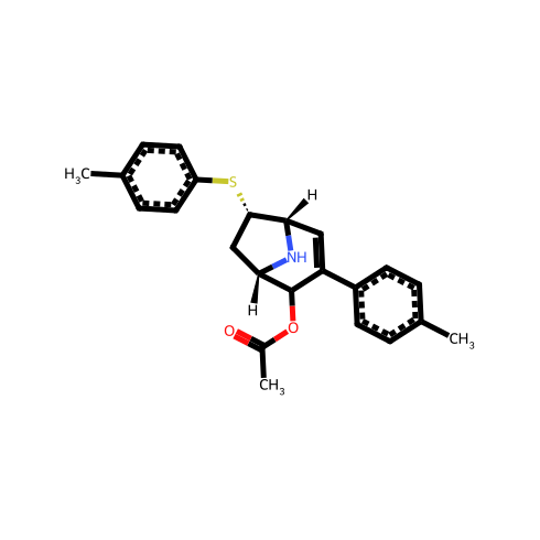 CC(=O)OC1C(c2ccc(C)cc2)=C[C@@H]2N[C@H]1C[C@@H]2Sc1ccc(C)cc1